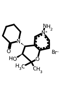 CC1(C)Oc2cc[n+](N)cc2[C@@H](N2CCCCC2=O)[C@@H]1O.[Br-]